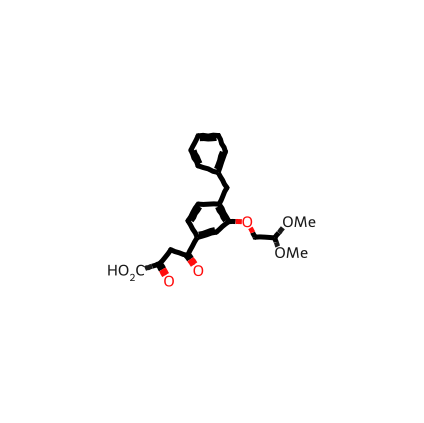 COC(COc1cc(C(=O)CC(=O)C(=O)O)ccc1Cc1ccccc1)OC